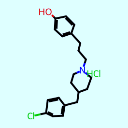 Cl.Oc1ccc(CCCN2CCC(Cc3ccc(Cl)cc3)CC2)cc1